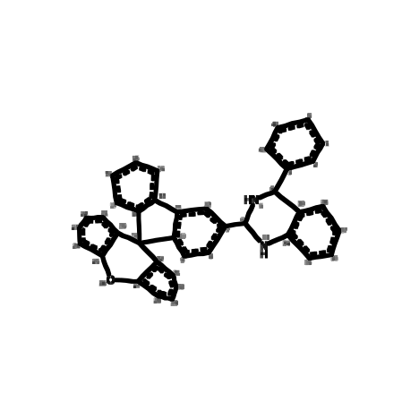 c1ccc(C2NC(c3ccc4c(c3)-c3ccccc3C43c4ccccc4Oc4ccccc43)Nc3ccccc32)cc1